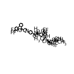 CC(C)[C@@H](CCN(C)CCO[Si](C)(C)C(C)(C)C)Nc1ccc(S(=O)(=O)NC(=O)c2ccc(N3CCC([C@@H](O)c4ccccc4-c4ccc(C(F)(F)F)cc4)CC3)cc2)cc1S(=O)(=O)C(F)(F)F